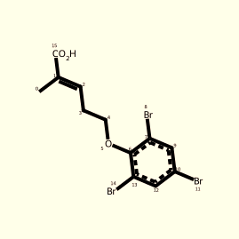 CC(=CCCOc1c(Br)cc(Br)cc1Br)C(=O)O